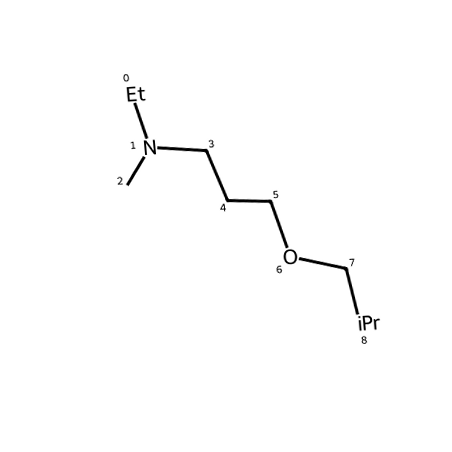 CCN(C)CCCOCC(C)C